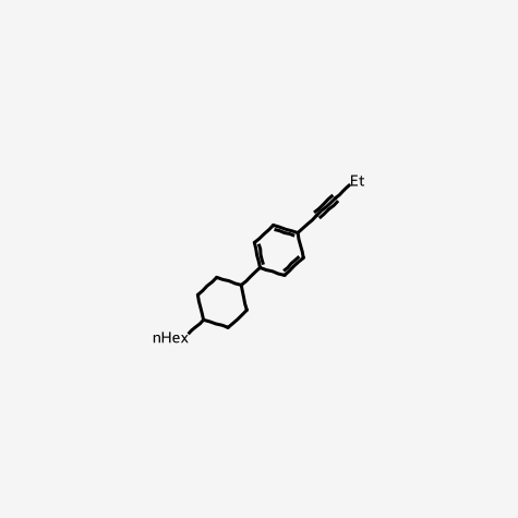 CCC#Cc1ccc(C2CCC(CCCCCC)CC2)cc1